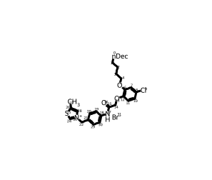 CCCCCCCCCCCCCCOc1cc(Cl)ccc1OCC(=O)Nc1ccc(C[n+]2csc(C)c2)cc1.[Br-]